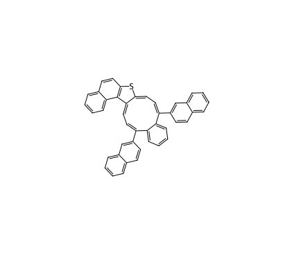 c1ccc2cc(-c3ccc4sc5ccc6ccccc6c5c4ccc(-c4ccc5ccccc5c4)c4ccccc34)ccc2c1